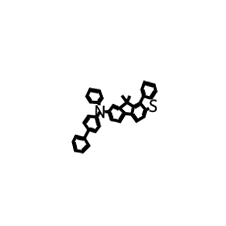 CC1(C)c2cc(N(c3ccccc3)c3ccc(-c4ccccc4)cc3)ccc2-c2ccc3sc4ccccc4c3c21